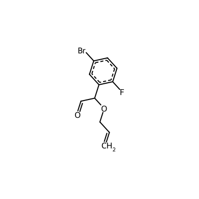 C=CCOC(C=O)c1cc(Br)ccc1F